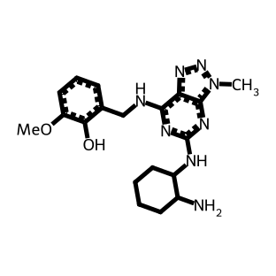 COc1cccc(CNc2nc(NC3CCCCC3N)nc3c2nnn3C)c1O